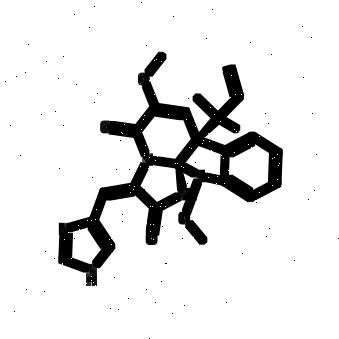 C=CC(C)(C)[C@]12C=C(OC)C(=O)N3/C(=C/c4c[nH]cn4)C(=O)N[C@@]31N(OC)c1ccccc12